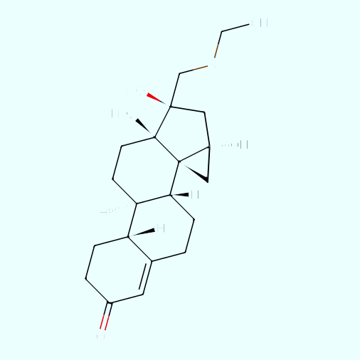 CCSC[C@]1(O)C[C@H]2C[C@]23[C@@H]2CCC4=CC(=O)CC[C@@H]4[C@H]2CC[C@]13C